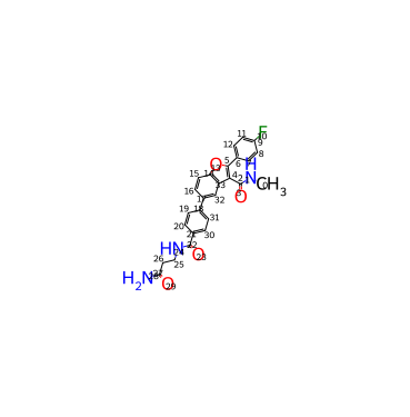 CNC(=O)c1c(-c2ccc(F)cc2)oc2ccc(-c3ccc(C(=O)NCCC(N)=O)cc3)cc12